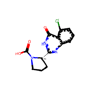 O=C(O)N1CCC[C@H]1c1nc2cccc(Cl)c2c(=O)[nH]1